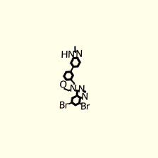 Cc1nc2ccc(-c3ccc4c(c3)CN(c3ncnc5c(Br)cc(Br)cc35)CCO4)cc2[nH]1